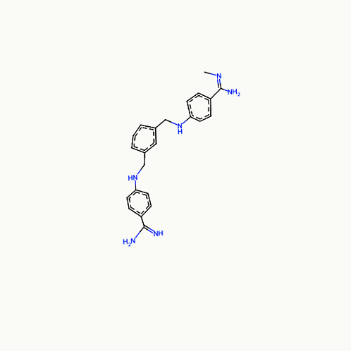 C/N=C(/N)c1ccc(NCc2cccc(CNc3ccc(C(=N)N)cc3)c2)cc1